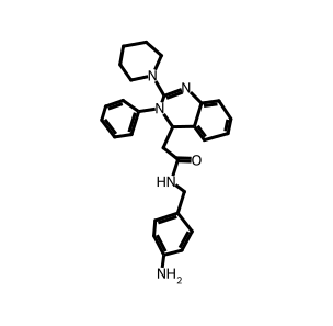 Nc1ccc(CNC(=O)CC2c3ccccc3N=C(N3CCCCC3)N2c2ccccc2)cc1